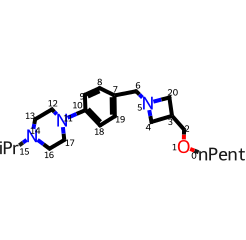 CCCCCOCC1CN(Cc2ccc(N3CCN(C(C)C)CC3)cc2)C1